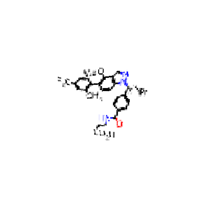 COc1c(-c2ccc(C(F)(F)F)cc2C)ccc2c1cnn2[C@H](CC(C)C)c1ccc(C(=O)NCCC(=O)O)cc1